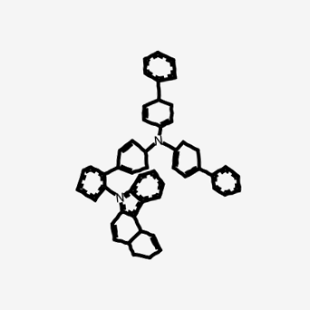 C1=CC2c3c(n(-c4ccccc4C4=CCC(N(C5=CCC(c6ccccc6)C=C5)C5=CC=C(c6ccccc6)CC5)C=C4)c4ccccc34)C=CC2CC1